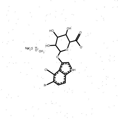 O.O.O.O=C([O-])C1OC(Oc2c[nH]c3ccc(Br)c(Cl)c23)C(O)C(O)C1O.[Na+]